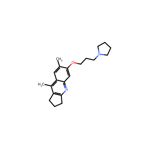 Cc1cc2c(C)c3c(nc2cc1OCCCN1CCCC1)CCC3